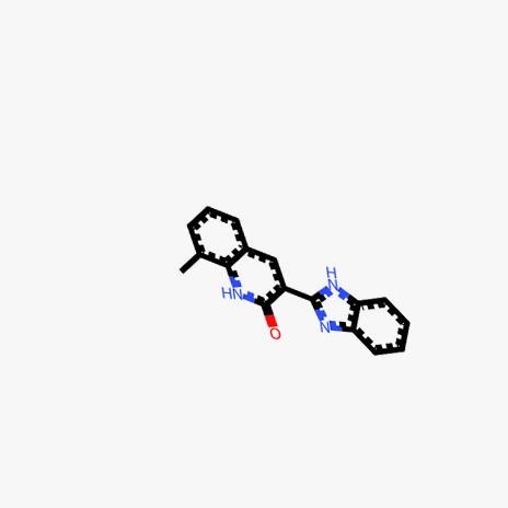 Cc1cccc2cc(-c3nc4ccccc4[nH]3)c(=O)[nH]c12